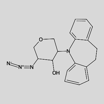 [N-]=[N+]=NC1COCC(N2c3ccccc3CCc3ccccc32)C1O